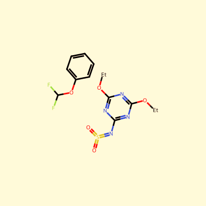 CCOc1nc(N=S(=O)=O)nc(OCC)n1.FC(F)Oc1ccccc1